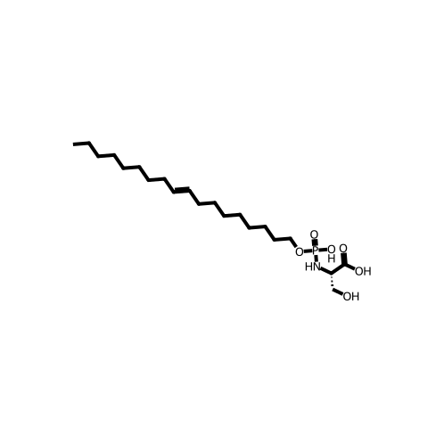 CCCCCCCCC=CCCCCCCCCOP(=O)(O)N[C@@H](CO)C(=O)O